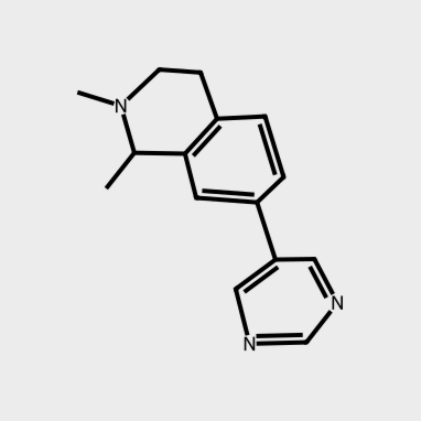 CC1c2cc(-c3cncnc3)ccc2CCN1C